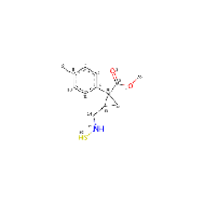 COC(=O)C1(c2ccc(C)cc2)CC1CNS